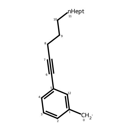 [CH2]c1cccc(C#CCCCCCCCCCC)c1